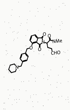 CNC(=O)C(CCC=O)N1C(=O)c2cccc(OCc3ccc(CN4CCCCC4)cc3)c2C1=O